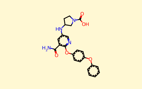 NC(=O)c1cc(NC2CCN(C(=O)O)C2)cnc1Oc1ccc(Oc2ccccc2)cc1